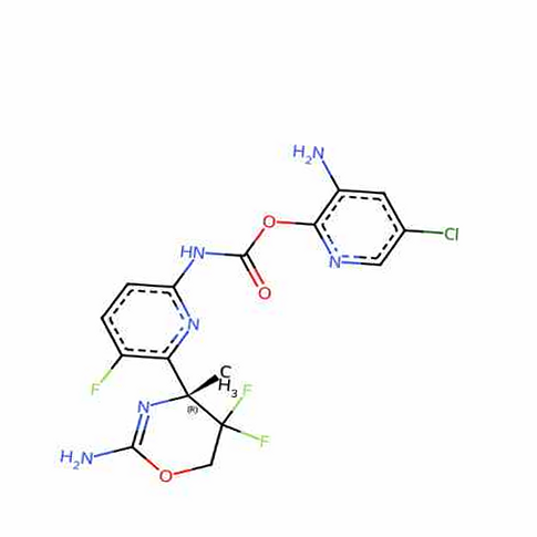 C[C@]1(c2nc(NC(=O)Oc3ncc(Cl)cc3N)ccc2F)N=C(N)OCC1(F)F